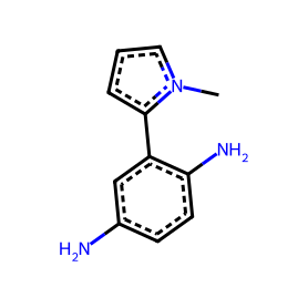 Cn1cccc1-c1cc(N)ccc1N